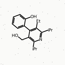 CCc1c(C(C)C)nc(C(C)C)c(CO)c1-c1ccccc1O